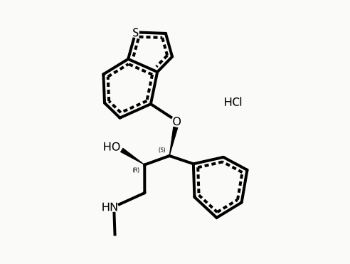 CNC[C@@H](O)[C@@H](Oc1cccc2sccc12)c1ccccc1.Cl